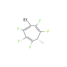 CCC1=C(F)C(F)=C(F)[C@@H](C)C(F)=C1F